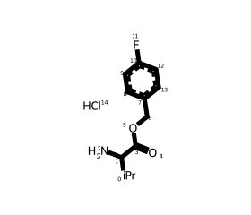 CC(C)C(N)C(=O)OCc1ccc(F)cc1.Cl